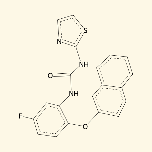 O=C(Nc1nccs1)Nc1cc(F)ccc1Oc1ccc2ccccc2c1